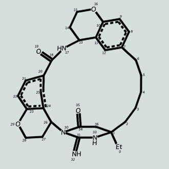 CCC12CCCCCc3ccc4c(c3)C(CCO4)NC(=O)c3ccc4c(c3)C(CCO4)N(C(=N)N1)C(=O)C2